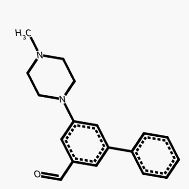 CN1CCN(c2cc(C=O)cc(-c3ccccc3)c2)CC1